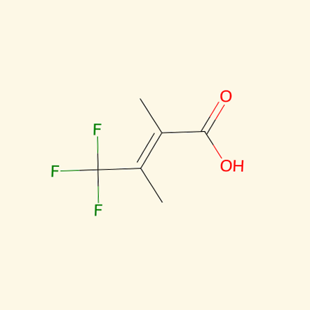 CC(C(=O)O)=C(C)C(F)(F)F